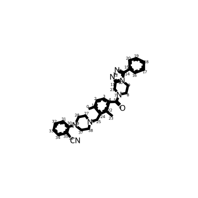 Cc1ccc(C(=O)N2CCn3c(nnc3-c3ccccc3)C2)c(C)c1CN1CCN(c2ccccc2C#N)CC1